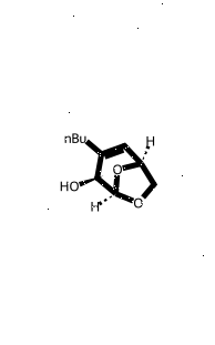 CCCCC1=C[C@H]2CO[C@H](O2)[C@H]1O